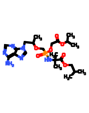 CC(C)COC(=O)C(C)(C)NP(=O)(COC(C)Cn1cnc2c(N)ncnc21)OCC(=O)OC(C)C